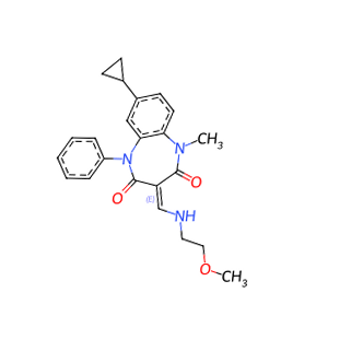 COCCN/C=C1\C(=O)N(C)c2ccc(C3CC3)cc2N(c2ccccc2)C1=O